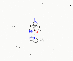 CC(C)(NC(=O)[C@H]1[C@@H]2CNC[C@@H]21)c1ncc2ccc(C(F)(F)F)cn12